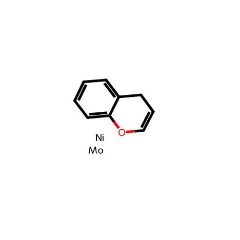 C1=COc2ccccc2C1.[Mo].[Ni]